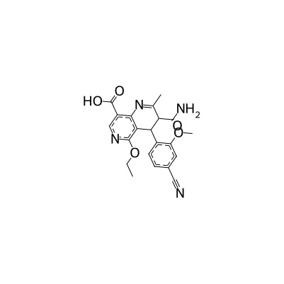 CCOc1ncc(C(=O)O)c2c1C(c1ccc(C#N)cc1OC)C(C(N)=O)C(C)=N2